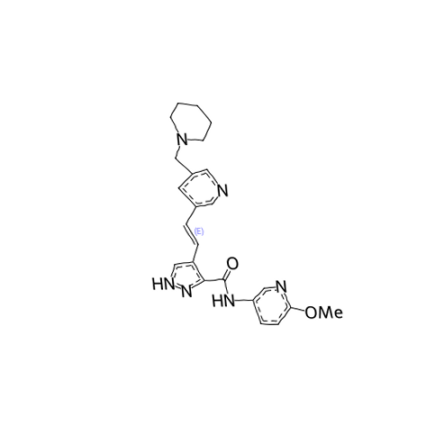 COc1ccc(NC(=O)c2n[nH]cc2/C=C/c2cncc(CN3CCCCC3)c2)cn1